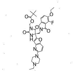 CCOc1ccc2c(c1F)C(=O)N(C[C@@]1(c3cc4nc(N5CCN(CC)CC5)ccc4o3)NC(=O)N(COC(=O)C(C)(C)C)C1=O)C2